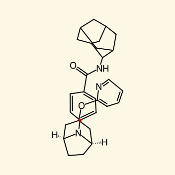 O=C(NC1C2CC3CC(C2)CC1C3)c1ccc(N2[C@@H]3CC[C@H]2CC(Oc2ccccn2)C3)cc1